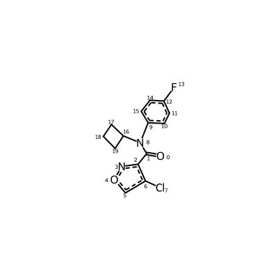 O=C(c1nocc1Cl)N(c1ccc(F)cc1)C1CCC1